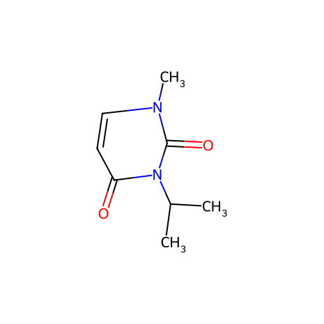 CC(C)n1c(=O)ccn(C)c1=O